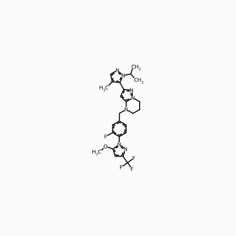 COc1cc(C(F)(F)F)nn1-c1ccc(CN2CCCn3nc(-c4c(C)cnn4C(C)C)cc32)cc1F